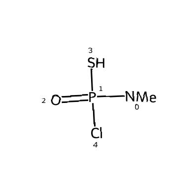 CNP(=O)(S)Cl